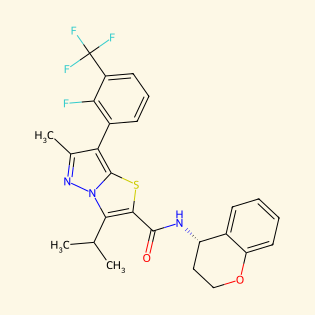 Cc1nn2c(C(C)C)c(C(=O)N[C@H]3CCOc4ccccc43)sc2c1-c1cccc(C(F)(F)F)c1F